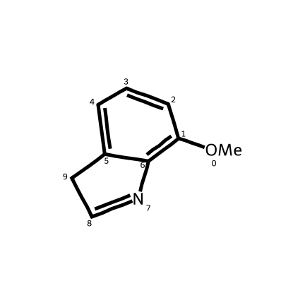 COc1cccc2c1N=CC2